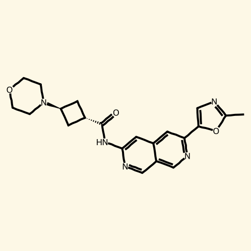 Cc1ncc(-c2cc3cc(NC(=O)[C@H]4C[C@H](N5CCOCC5)C4)ncc3cn2)o1